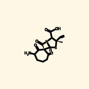 C=C[C@@]1(C)S[C@@H]2N(C(=O)[C@@]23C(=O)CCCC(N)C3=O)C1C(=O)O